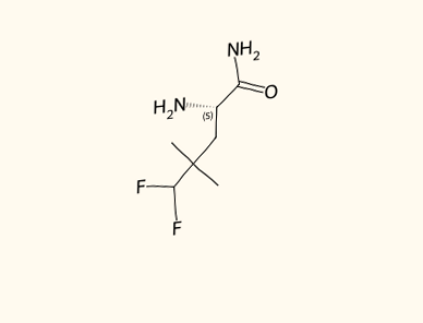 CC(C)(C[C@H](N)C(N)=O)C(F)F